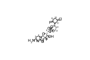 Nc1ccn([C@@H]2O[C@H](CO[P@]3(=O)OCC[C@H](c4cc(Cl)ccc4F)O3)[C@@H](O)C2(F)F)c(=O)n1